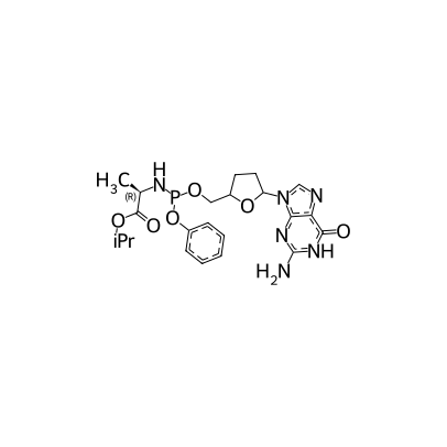 CC(C)OC(=O)[C@@H](C)NP(OCC1CCC(n2cnc3c(=O)[nH]c(N)nc32)O1)Oc1ccccc1